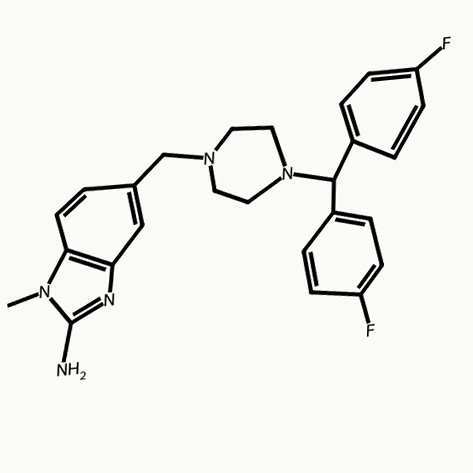 Cn1c(N)nc2cc(CN3CCN(C(c4ccc(F)cc4)c4ccc(F)cc4)CC3)ccc21